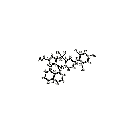 CC(=O)c1cc2c(s1)N(c1cccc3ccccc13)c1ccc(-c3c(C)cc(C)cc3C)cc1C2(C)C